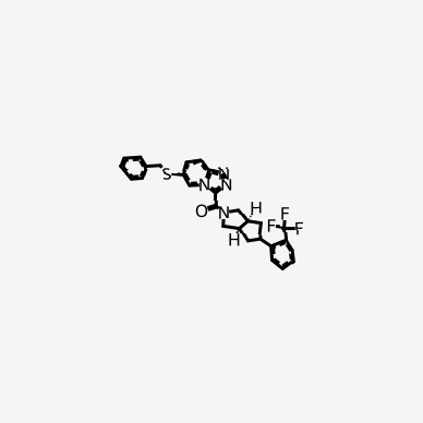 O=C(c1nnc2ccc(SCc3ccccc3)cn12)N1C[C@H]2CC(c3ccccc3C(F)(F)F)C[C@H]2C1